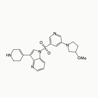 COC1CCN(c2cncc(S(=O)(=O)n3cc(C4=CCNCC4)c4ncccc43)c2)C1